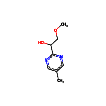 COCC(O)c1ncc(C)cn1